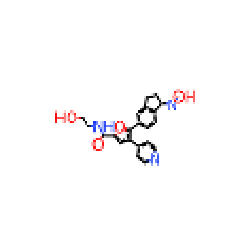 O=C(NCCO)c1cc(-c2ccncc2)c(-c2ccc3c(c2)CCC3=NO)o1